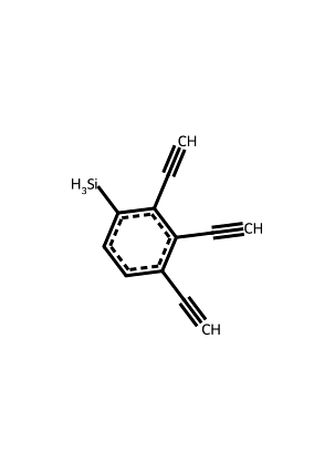 C#Cc1ccc([SiH3])c(C#C)c1C#C